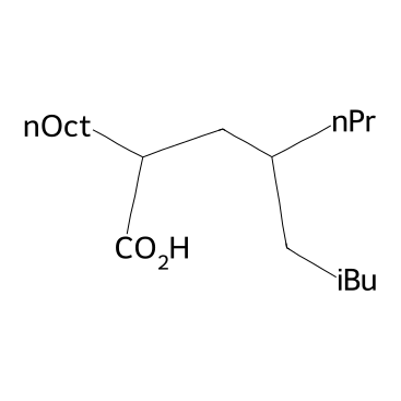 CCCCCCCCC(CC(CCC)CC(C)CC)C(=O)O